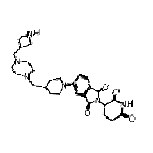 O=C1CCC(N2C(=O)c3ccc(N4CCC(CN5CCN(CC6CNC6)CC5)CC4)cc3C2=O)C(=O)N1